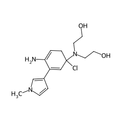 Cn1ccc(C2=CC(Cl)(N(CCO)CCO)CC=C2N)c1